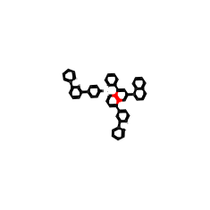 c1cc(-c2ccccc2N(c2ccc(-c3ccc4sc5ccccc5c4c3)cc2)c2ccc(-c3cccc4c3oc3ccccc34)cc2)cc(-c2cccc3ccccc23)c1